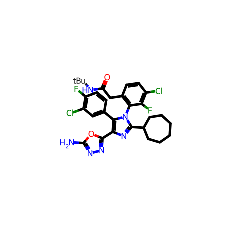 CC(C)(C)NC(=O)Cc1ccc(Cl)c(F)c1-n1c(C2CCCCCC2)nc(-c2nnc(N)o2)c1-c1ccc(F)c(Cl)c1